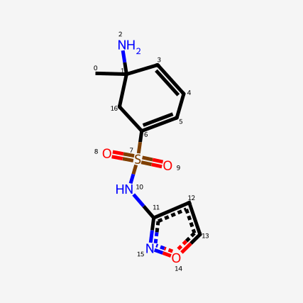 CC1(N)C=CC=C(S(=O)(=O)Nc2ccon2)C1